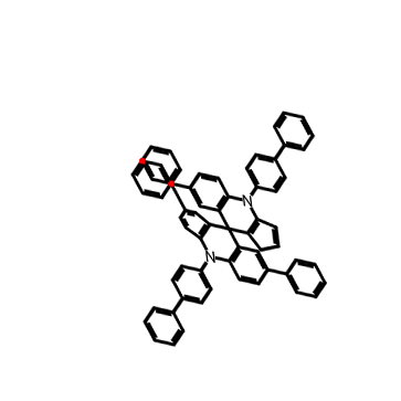 C1=CC2=C(C1)C1(c3cc(-c4ccccc4)ccc3N2c2ccc(-c3ccccc3)cc2)c2cc(-c3ccccc3)ccc2N(c2ccc(-c3ccccc3)cc2)c2ccc(-c3ccccc3)cc21